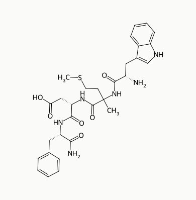 CSCCC(C)(NC(=O)[C@@H](N)Cc1c[nH]c2ccccc12)C(=O)N[C@@H](CC(=O)O)C(=O)N[C@@H](Cc1ccccc1)C(N)=O